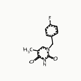 Cc1cn(Cc2ccc(F)cc2)c(=O)[nH]c1=O